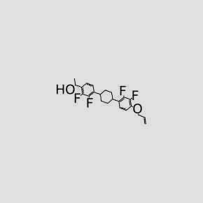 C=CCOc1ccc(C2CCC(c3ccc(C(C)O)c(F)c3F)CC2)c(F)c1F